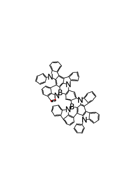 c1ccc(-n2c3ccccc3c3c4c5ccccc5n5c4c4c(c32)-c2cccc3c6ccccc6n(c23)B4c2cc3c(cc2-5)-n2c4ccccc4c4c5c6ccccc6n(-c6ccccc6)c5c5c(c42)B3n2c3ccccc3c3cccc-5c32)cc1